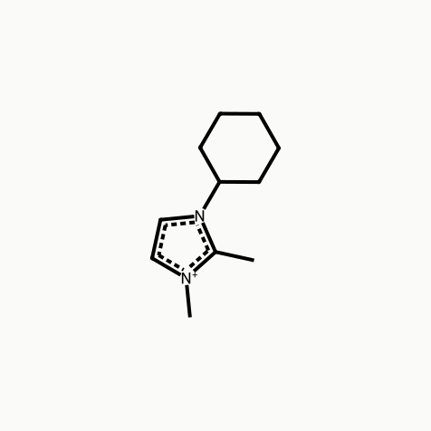 Cc1n(C2CCCCC2)cc[n+]1C